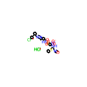 Cl.Cl.O=C(NS(=O)(=O)c1ccc(NC(CCN2CCOCC2)CSc2ccccc2)c([N+](=O)[O-])c1)c1ccc2c(c1)cc1n2CCN(Cc2ccccc2-c2ccc(Cl)cc2)C1